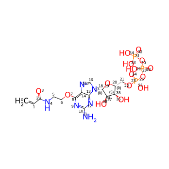 C=CC(=O)NCCOc1nc(N)nc2c1ncn2[C@@H]1O[C@H](COP(=O)(O)OP(=O)(O)OP(=O)(O)O)[C@@H](O)[C@H]1O